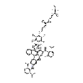 CCC(C)(C)C(=O)OCCNC(=O)OCCSc1c(F)c(F)c(S(=O)(=O)NS(=O)(=O)c2ccccc2-c2c3cc/c(=N\c4c(C(C)C)cccc4C(C)C)cc-3oc3cc(Nc4c(C)cccc4C(C)C)ccc23)c(F)c1F